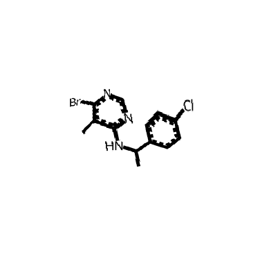 Cc1c(Br)ncnc1NC(C)c1ccc(Cl)cc1